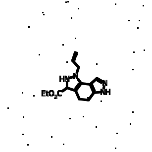 C=CCN1NC(C(=O)OCC)C2=C1c1cn[nH]c1CC2